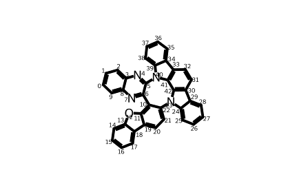 c1ccc2nc3c(nc2c1)c1c2oc4ccccc4c2ccc1n1c2ccccc2c2ccc4c5ccccc5n3c4c21